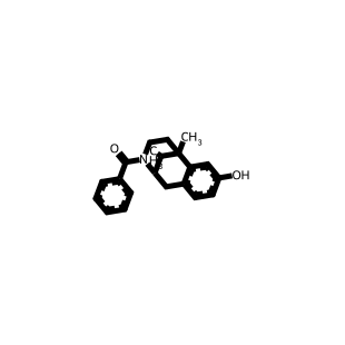 CC1C2Cc3ccc(O)cc3C1(C)CCN2C(=O)c1ccccc1